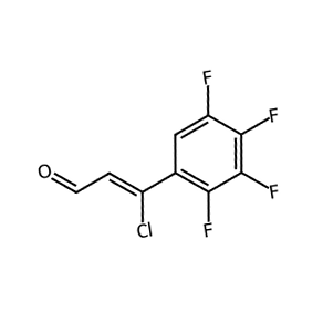 O=CC=C(Cl)c1cc(F)c(F)c(F)c1F